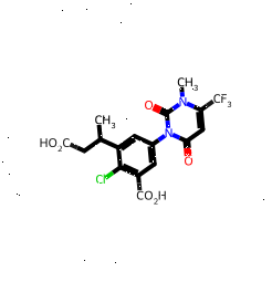 CC(CC(=O)O)c1cc(-n2c(=O)cc(C(F)(F)F)n(C)c2=O)cc(C(=O)O)c1Cl